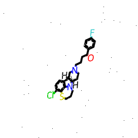 O=C(CCCN1CC[C@@H]2[C@H](C1)c1ccc(Cl)c3c1N2CCCS3)c1ccc(F)cc1